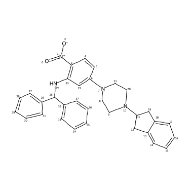 O=[N+]([O-])c1ccc(N2CCN(C3Cc4ccccc4C3)CC2)cc1NC(c1ccccc1)c1ccccc1